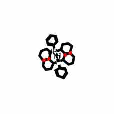 c1ccc([PH]([Ni][PH](c2ccccc2)(C2CCCCC2)C2CCCCC2)(C2CCCCC2)C2CCCCC2)cc1